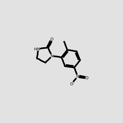 Cc1ccc([N+](=O)[O-])cc1N1CCNC1=O